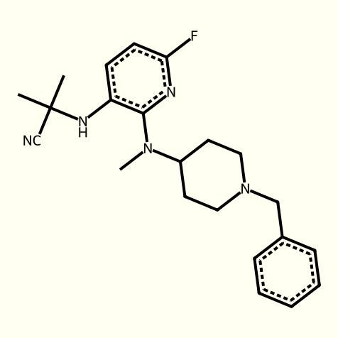 CN(c1nc(F)ccc1NC(C)(C)C#N)C1CCN(Cc2ccccc2)CC1